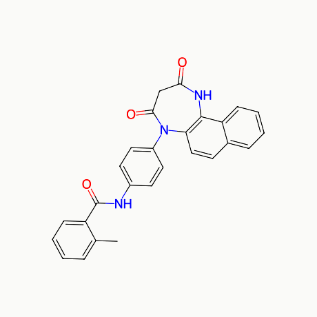 Cc1ccccc1C(=O)Nc1ccc(N2C(=O)CC(=O)Nc3c2ccc2ccccc32)cc1